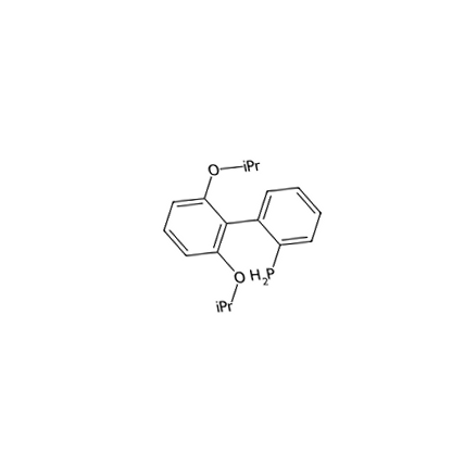 CC(C)Oc1cccc(OC(C)C)c1-c1ccccc1P